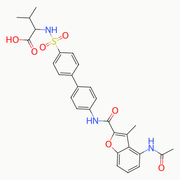 CC(=O)Nc1cccc2oc(C(=O)Nc3ccc(-c4ccc(S(=O)(=O)NC(C(=O)O)C(C)C)cc4)cc3)c(C)c12